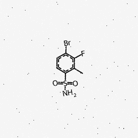 Cc1c(S(N)(=O)=O)ccc(Br)c1F